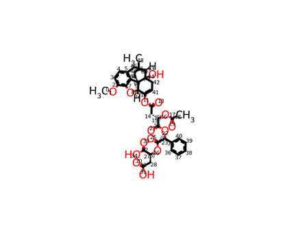 COc1ccc2c3c1O[C@H]1C(OC(=O)C[C@H](OC(C)=O)C(=O)O[C@H](C(=O)O[C@@H](CC(=O)O)C(=O)O)c4ccccc4)=CC[C@@]4(O)[C@@H](C2)C(C)CC[C@]314